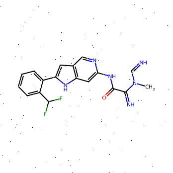 CN(C=N)C(=N)C(=O)Nc1cc2[nH]c(-c3ccccc3C(F)F)cc2cn1